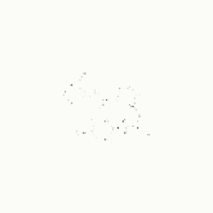 CN(Cc1cccc(C(=O)N2CCCc3ccccc32)c1)S(=O)(=O)c1ccc(Br)cc1